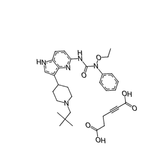 CCON(C(=O)Nc1ccc2[nH]cc(C3CCN(CC(C)(C)C)CC3)c2n1)c1ccccc1.O=C(O)C#CCCC(=O)O